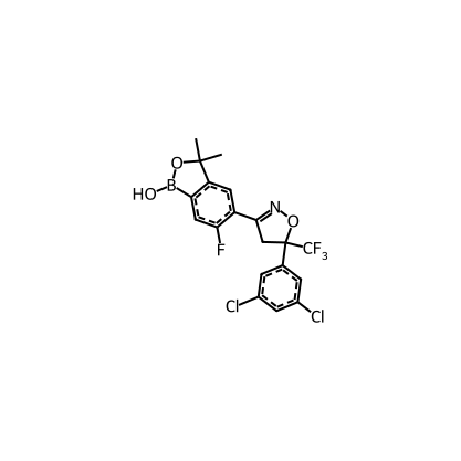 CC1(C)OB(O)c2cc(F)c(C3=NOC(c4cc(Cl)cc(Cl)c4)(C(F)(F)F)C3)cc21